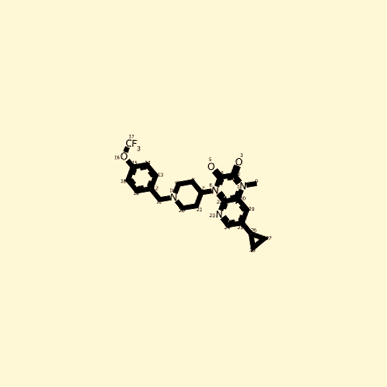 Cn1c(=O)c(=O)n(C2CCN(Cc3ccc(OC(F)(F)F)cc3)CC2)c2ncc(C3CC3)cc21